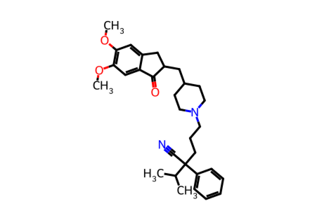 COc1cc2c(cc1OC)C(=O)C(CC1CCN(CCCC(C#N)(c3ccccc3)C(C)C)CC1)C2